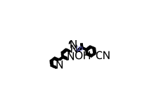 C=NN(/C(O)=C(\C)c1ccc(C#N)cc1)c1ccc(-c2ccccn2)cn1